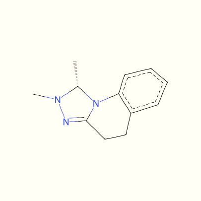 C[C@H]1N(C)N=C2CCc3ccccc3N21